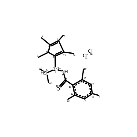 CC1=C(C)C(C)[C]([Zr+2]([NH]C(=O)c2c(C)cc(C)cc2C)[SiH](C)C)=C1C.[Cl-].[Cl-]